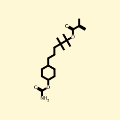 C=C(C)C(=O)OC(C)(C)C(C)(C)CCCC1CCC(OC(N)=O)CC1